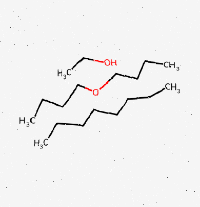 CCCCCCCC.CCCCOCCCC.CCO